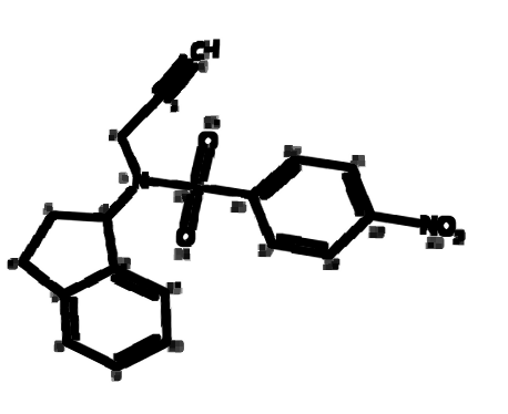 C#CCN(C1CCc2ccccc21)S(=O)(=O)c1ccc([N+](=O)[O-])cc1